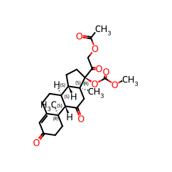 COC(=O)O[C@]1(C(=O)COC(C)=O)CC[C@H]2[C@@H]3CCC4=CC(=O)CC[C@]4(C)[C@H]3C(=O)C[C@@]21C